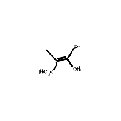 [CH2]C(C)C(O)=C(C)C(=O)O